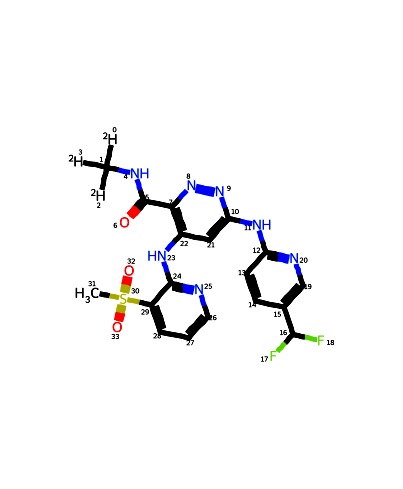 [2H]C([2H])([2H])NC(=O)c1nnc(Nc2ccc(C(F)F)cn2)cc1Nc1ncccc1S(C)(=O)=O